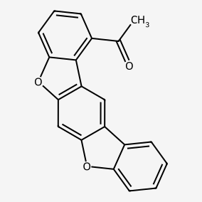 CC(=O)c1cccc2oc3cc4oc5ccccc5c4cc3c12